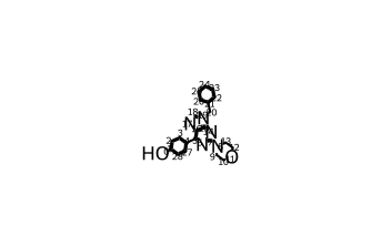 Oc1ccc(-c2nc(N3CCOCC3)nc3c2ncn3Cc2ccccc2)cc1